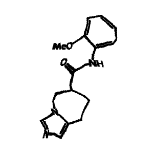 COc1ccccc1NC(=O)C1CCc2cncn2C1